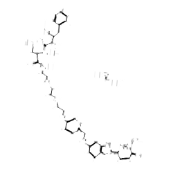 CC(C)CC(NC(=O)C(O)C(N)Cc1ccccc1)C(=O)NCCOCCOCCOc1ccc(COc2ccc3oc(-c4ccc(=O)n(C)n4)nc3c2)nc1.O=CO